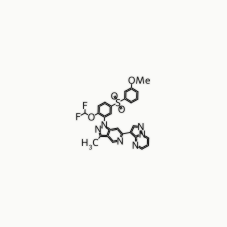 COc1cccc(S(=O)(=O)c2ccc(OC(F)F)c(-n3nc(C)c4cnc(-c5cnn6cccnc56)cc43)c2)c1